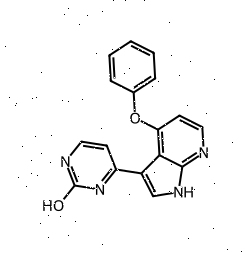 Oc1nccc(-c2c[nH]c3nccc(Oc4ccccc4)c23)n1